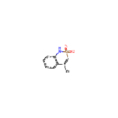 CC(C)C1=CS(=O)(=O)Nc2ccccc21